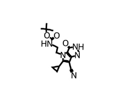 CC(C)(C)OC(=O)NCCn1c(C2CC2)c(C#N)c2nc[nH]c(=O)c21